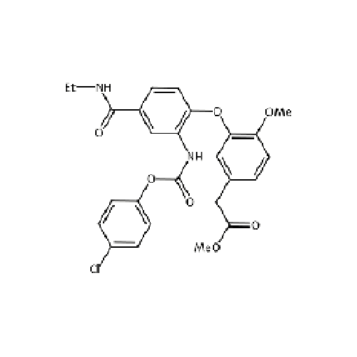 CCNC(=O)c1ccc(Oc2cc(CC(=O)OC)ccc2OC)c(NC(=O)Oc2ccc(Cl)cc2)c1